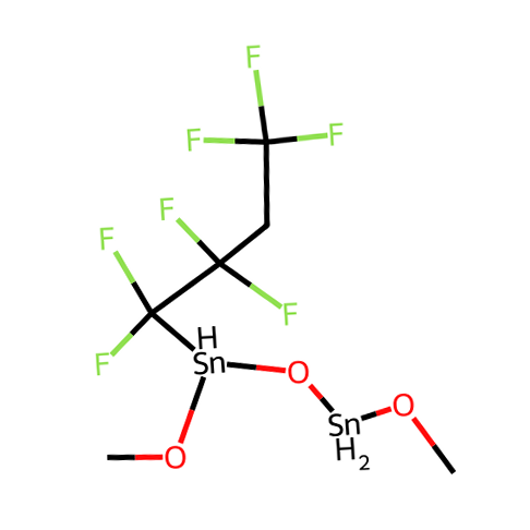 C[O][SnH2][O][SnH]([O]C)[C](F)(F)C(F)(F)CC(F)(F)F